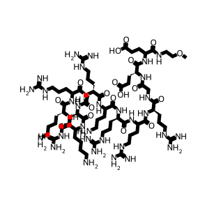 COCCNC(=O)C(CCC(=O)O)NC(=O)[C@@H](CCC(=O)O)NC(=O)CNC(=O)[C@@H](CCCNC(=N)N)NC(=O)C(CCCNC(=N)N)NC(=O)[C@@H](CCCNC(=N)N)NC(=O)C(CCCN)NC(=O)[C@@H](CCCNC(=N)N)NC(=O)C(CCCNC(=N)N)NC(=O)[C@@H](CCCCN)NC(=O)C(CCCCN)NC(=O)[C@@H](CCCNC(=N)N)NC(C)=O